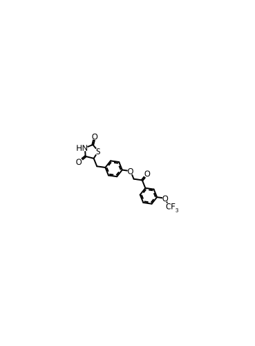 O=C1NC(=O)C(Cc2ccc(OCC(=O)c3cccc(OC(F)(F)F)c3)cc2)S1